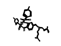 CC(C)=CCN(CC=C(C)C)Cc1ccc(NS(=O)(=O)c2ccc(C)cc2)c(NS(=O)(=O)c2ccc(C)cc2)c1